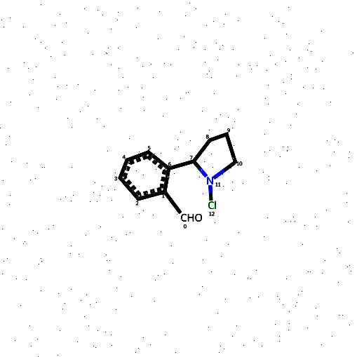 O=Cc1ccccc1C1CCCN1Cl